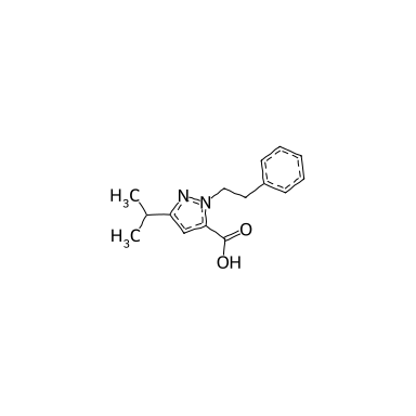 CC(C)c1cc(C(=O)O)n(CCc2ccccc2)n1